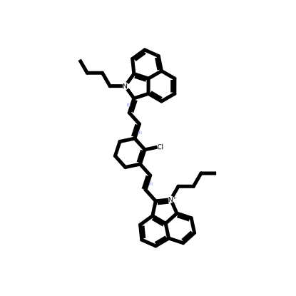 CCCCn1/c(=C/C=C2\CCCC(/C=C/C3=[N+](CCCC)c4cccc5cccc3c45)=C2Cl)c2cccc3cccc1c32